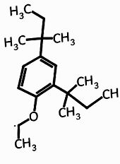 C[CH]Oc1ccc(C(C)(C)CC)cc1C(C)(C)CC